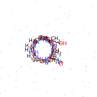 CCC1NC(=O)[C@@H]2[C@@H]([C@H](C)CCCCCO)ON2C(=O)C(C(C)C)N(C)C(=O)[C@H](CC(C)C)N(C)C(=O)[C@H](CC(C)C)N(C)C(=O)[C@@H](C)NC(=O)C(C)NC(=O)[C@H](CC(C)C)N(C)C(=O)C(C(C)C)NC(=O)C([C@@H](C)OCCCCN2CCOCC2)N(C)C(=O)[C@@H](C)N(C)C1=O